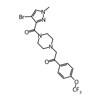 Cn1cc(Br)c(C(=O)N2CCN(CC(=O)c3ccc(OC(F)(F)F)cc3)CC2)n1